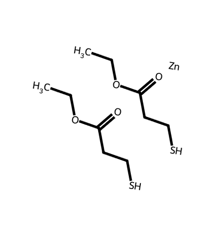 CCOC(=O)CCS.CCOC(=O)CCS.[Zn]